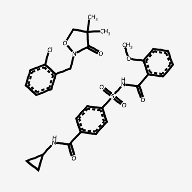 CC1(C)CON(Cc2ccccc2Cl)C1=O.COc1ccccc1C(=O)NS(=O)(=O)c1ccc(C(=O)NC2CC2)cc1